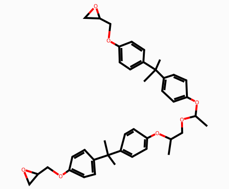 CC(COC(C)Oc1ccc(C(C)(C)c2ccc(OCC3CO3)cc2)cc1)Oc1ccc(C(C)(C)c2ccc(OCC3CO3)cc2)cc1